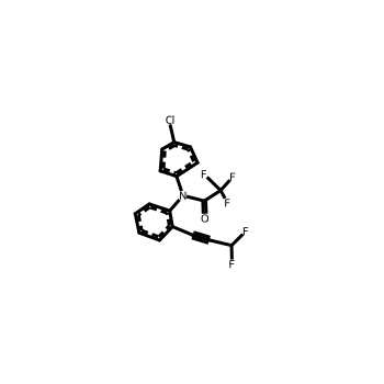 O=C(N(c1ccc(Cl)cc1)c1ccccc1C#CC(F)F)C(F)(F)F